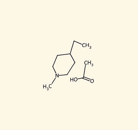 CC(=O)O.CCC1CCN(C)CC1